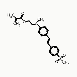 C=C(C)C(=O)OCCN(C)c1ccc(C=Cc2ccc(S(C)(=O)=O)cc2)cc1